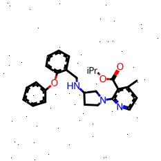 Cc1ccnc(N2CCC(NCc3ccccc3Oc3ccccc3)C2)c1C(=O)OC(C)C